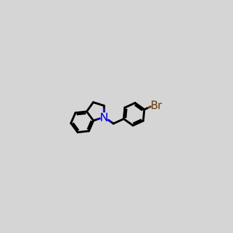 Brc1ccc(CN2CCc3ccccc32)cc1